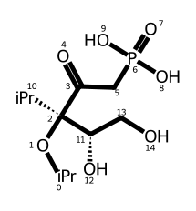 CC(C)O[C@](C(=O)CP(=O)(O)O)(C(C)C)[C@@H](O)CO